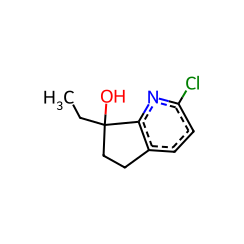 CCC1(O)CCc2ccc(Cl)nc21